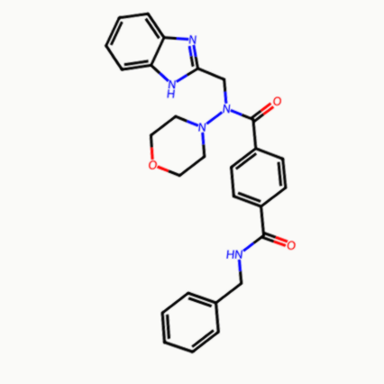 O=C(NCc1ccccc1)c1ccc(C(=O)N(Cc2nc3ccccc3[nH]2)N2CCOCC2)cc1